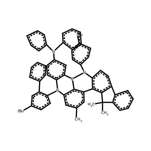 Cc1cc2c3c(c1)N(c1ccc(C(C)(C)C)cc1-c1ccccc1)c1ccc(N(c4ccccc4)c4ccccc4)cc1B3N(c1ccc(C(C)(C)C)cc1)c1ccc3c(c1-2)C(C)(C)c1ccccc1-3